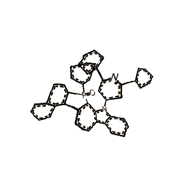 O=P1(c2ccccc2)c2ccc3ccccc3c2-c2ccc3c4ccccc4n(-c4cc(-c5ccccc5)nc(-c5ccccc5)c4)c3c21